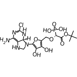 CC(C)(C)OC(=O)[C@H](OCc1oc(N2CNC3=C(N)N=C(Cl)N[C@@H]32)c(O)c1O)P(=O)(O)O